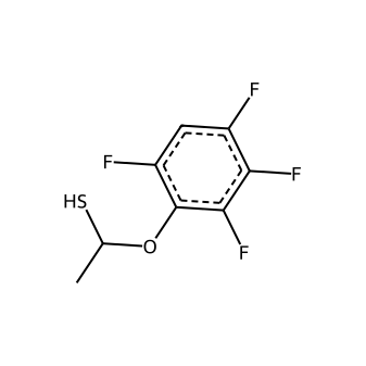 CC(S)Oc1c(F)cc(F)c(F)c1F